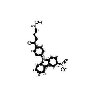 O=C(CCC=NO)c1ccc(-n2c3ccccc3c3cc([N+](=O)[O-])ccc32)cc1